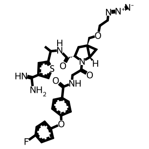 CC(NC(=O)[C@@H]1C[C@]2(COCCN=[N+]=[N-])C[C@@H]2N1C(=O)CNC(=O)c1ccc(Oc2ccc(F)cc2)cc1)c1cc(C(=N)N)cs1